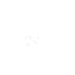 N=C(N)NC(=O)OC1CCCCC1